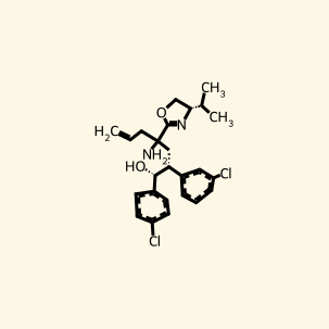 C=CCC(N)(C[C@H](c1cccc(Cl)c1)[C@@H](O)c1ccc(Cl)cc1)C1=N[C@@H](C(C)C)CO1